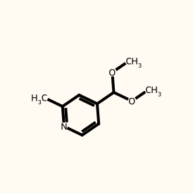 COC(OC)c1ccnc(C)c1